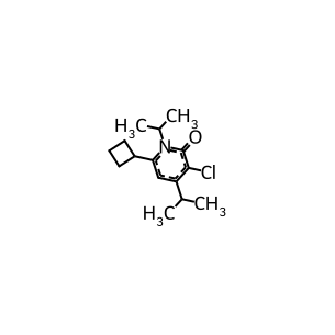 CC(C)c1cc(C2CCC2)n(C(C)C)c(=O)c1Cl